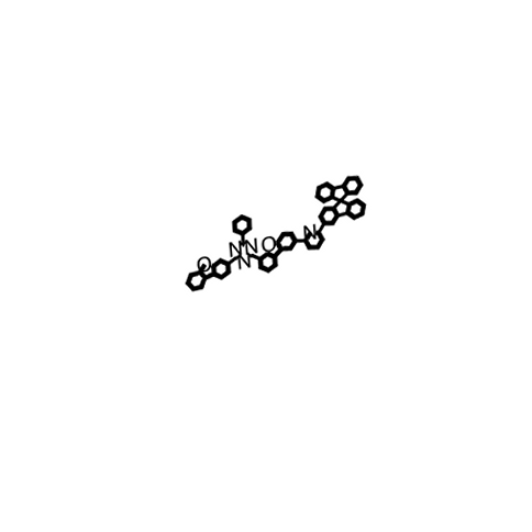 c1ccc(-c2nc(-c3ccc4c(c3)oc3ccccc34)nc(-c3cccc4c3oc3ccc(-c5cccc(-c6ccc7c(c6)-c6ccccc6C76c7ccccc7-c7ccccc76)n5)cc34)n2)cc1